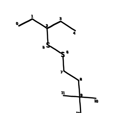 CCC(CC)SSCCC(C)(C)C